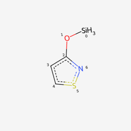 [SiH3]Oc1ccsn1